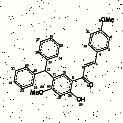 COc1ccc(/C=C/C(=O)c2cc(C(c3ccccc3)c3ccccc3)c(OC)cc2O)cc1